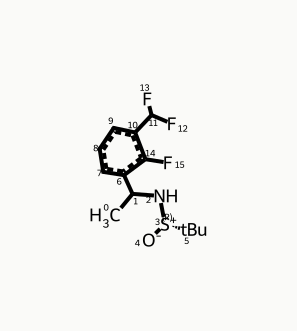 CC(N[S@@+]([O-])C(C)(C)C)c1cccc(C(F)F)c1F